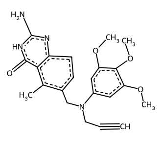 C#CCN(Cc1ccc2nc(N)[nH]c(=O)c2c1C)c1cc(OC)c(OC)c(OC)c1